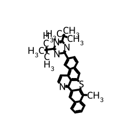 Cc1c2c(cc3ccccc13)-c1nccc3c1c(cc1ccc(-c4nc(C(C)(C)C)nc(C(C)(C)C)n4)cc13)S2